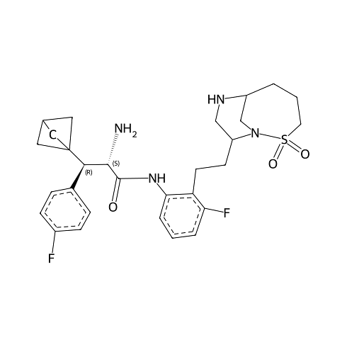 N[C@H](C(=O)Nc1cccc(F)c1CCC1CNC2CCCS(=O)(=O)N1C2)[C@@H](c1ccc(F)cc1)C12CC(C1)C2